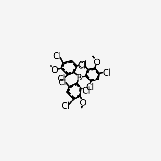 COc1c(Cl)cc(Cl)c(B(c2c(Cl)cc(Cl)c(OC)c2Cl)c2c(Cl)cc(Cl)c(OC)c2Cl)c1Cl